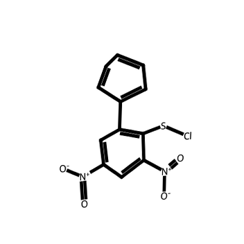 O=[N+]([O-])c1cc(-c2ccccc2)c(SCl)c([N+](=O)[O-])c1